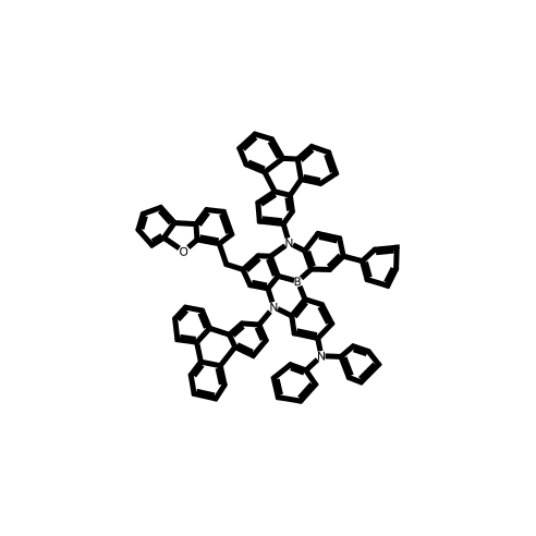 c1ccc(-c2ccc3c(c2)B2c4ccc(N(c5ccccc5)c5ccccc5)cc4N(c4ccc5c6ccccc6c6ccccc6c5c4)c4cc(Cc5cccc6c5oc5ccccc56)cc(c42)N3c2ccc3c4ccccc4c4ccccc4c3c2)cc1